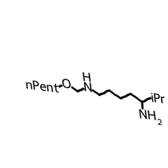 CCCCCOCNCCCCC(N)C(C)C